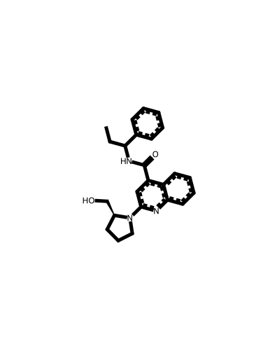 CCC(NC(=O)c1cc(N2CCC[C@H]2CO)nc2ccccc12)c1ccccc1